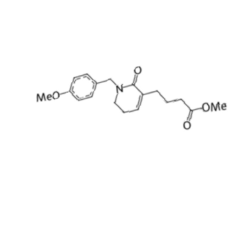 COC(=O)CCCC1=CCCN(Cc2ccc(OC)cc2)C1=O